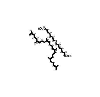 CC(C)=CCCC(C)=CCCC(C)=CCCC=C(C)CCC=C(C)CCC=C(C)C.CCCCCCCCCCCCCCCCOCCCCCCCCCCCCCCCC